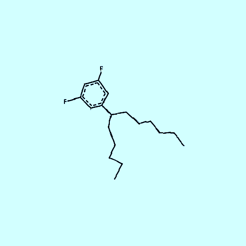 CCCCCCC(CCCCC)c1[c]c(F)cc(F)c1